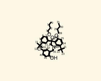 CCCCOc1ccc(C(C)(C)C)cc1C(O)(c1cc(C(C)(C)C)ccc1OCCCC)[C@@H](C)N=Cc1cc(Cl)ccc1O